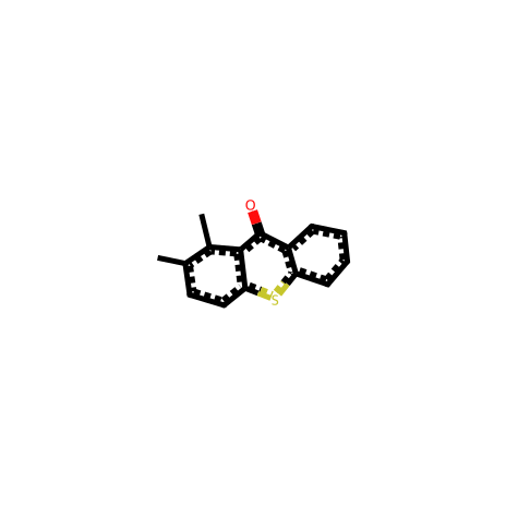 Cc1ccc2sc3ccccc3c(=O)c2c1C